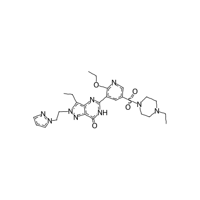 CCOc1ncc(S(=O)(=O)N2CCN(CC)CC2)cc1-c1nc2c(CC)n(CCn3cccn3)nc2c(=O)[nH]1